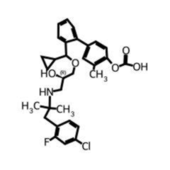 Cc1cc(-c2ccccc2C(OC[C@H](O)CNC(C)(C)Cc2ccc(Cl)cc2F)C2CC2)ccc1OC(=O)O